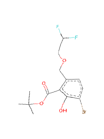 CC(C)(C)OC(=O)c1c(COCC(F)F)ccc(Br)c1O